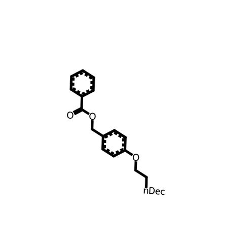 CCCCCCCCCCCCOc1ccc(COC(=O)c2ccccc2)cc1